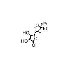 CCCC1(CC)OC[C@@H]([C@H]2OC(=O)C(O)=C2O)O1